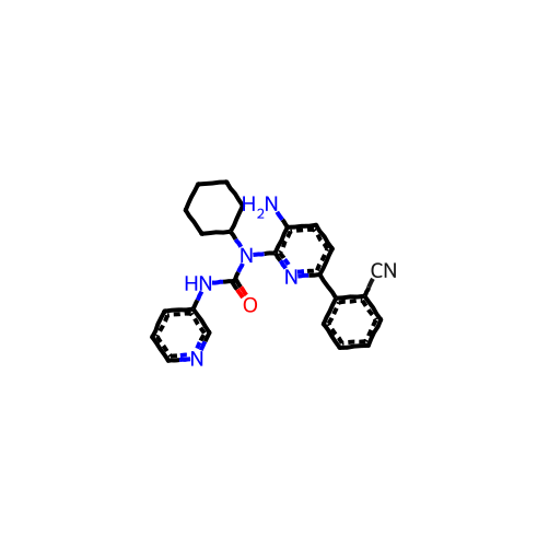 N#Cc1ccccc1-c1ccc(N)c(N(C(=O)Nc2cccnc2)C2CCCCC2)n1